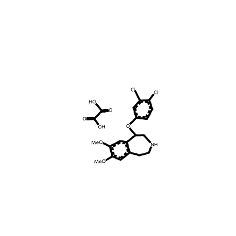 COc1cc2c(cc1OC)C(Oc1ccc(Cl)c(Cl)c1)CNCC2.O=C(O)C(=O)O